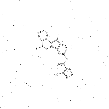 Cn1ncnc1C(=O)Nc1ccc2c(F)c(-c3ccccc3C(F)F)[nH]c2n1